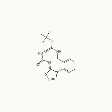 CC(C)(C)OC(=O)NCc1ccccc1-n1ccsc1=NC(=O)O